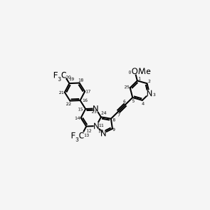 COc1cncc(C#Cc2cnn3c(C(F)(F)F)cc(-c4ccc(C(F)(F)F)cc4)nc23)c1